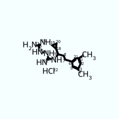 Cc1cc(C)cc(CCC(NC(=N)NNC(=N)N)C2CC2)c1.Cl